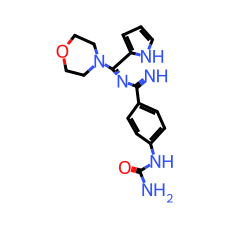 N=C(/N=C(\c1ccc[nH]1)N1CCOCC1)c1ccc(NC(N)=O)cc1